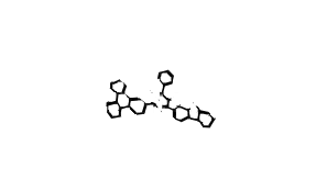 c1ccc(-c2nc(-c3ccc4c5ccccc5c5ccccc5c4c3)nc3c2sc2c3ccc3c4ccccc4sc32)cc1